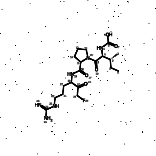 CC[C@@H](C)[C@H](NC(=O)O)C(=O)N1CCCC1C(=O)NC(CCCNC(=N)N)C(=O)CF